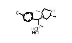 CC(C)C(c1ccc(Cl)cc1)N1C[C@H](C)NC[C@H]1C.Cl.Cl